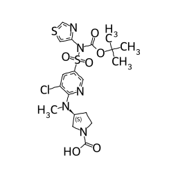 CN(c1ncc(S(=O)(=O)N(C(=O)OC(C)(C)C)c2cscn2)cc1Cl)[C@H]1CCN(C(=O)O)C1